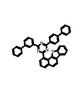 c1ccc(-c2ccc(-c3nc(-c4cccc(-c5ccccc5)c4)nc(-c4cccc5ccc6c7ccccc7sc6c45)n3)cc2)cc1